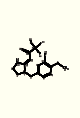 CCc1ncc(CN2CCN/C2=C\C(=S)C(F)(F)F)cc1F